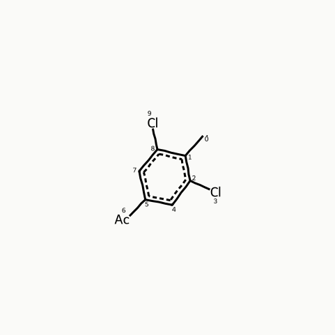 [CH2]c1c(Cl)cc(C(C)=O)cc1Cl